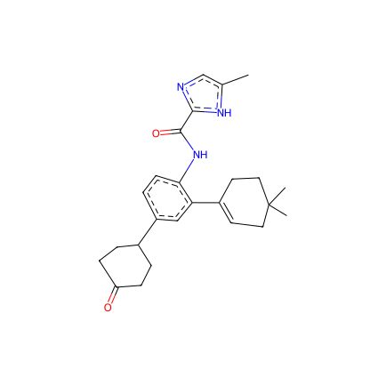 Cc1cnc(C(=O)Nc2ccc(C3CCC(=O)CC3)cc2C2=CCC(C)(C)CC2)[nH]1